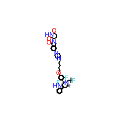 C[C@@H]1Cc2c([nH]c3ccccc23)[C@@H](c2c(F)cc(OCCCCCN3CCN(c4ccc5c(c4)CN(C4CCC(=O)NC4=O)C5=O)CC3)cc2F)N1CC(C)(C)F